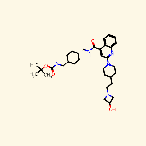 CC(C)(C)OC(=O)NC[C@H]1CC[C@H](CNC(=O)c2cc(N3CCC(CCN4CC(O)C4)CC3)nc3ccccc23)CC1